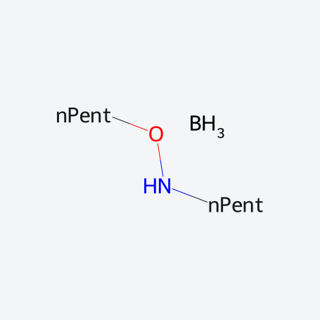 B.CCCCCNOCCCCC